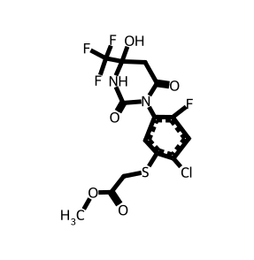 COC(=O)CSc1cc(N2C(=O)CC(O)(C(F)(F)F)NC2=O)c(F)cc1Cl